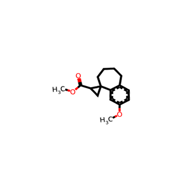 COC(=O)C1CC12CCCCc1ccc(OC)cc12